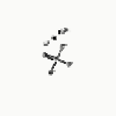 O=P([O-])([O-])[O-].[Fe].[Li+].[Pb+2]